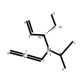 C=C=CN(C(C)C)[C@H](C=C)CC